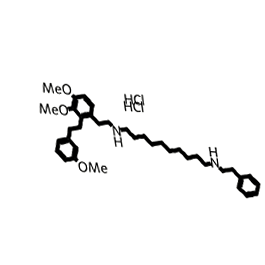 COc1cccc(CCc2c(CCNCCCCCCCCCCNCCc3ccccc3)ccc(OC)c2OC)c1.Cl.Cl